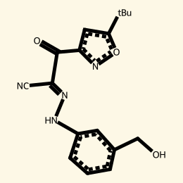 CC(C)(C)c1cc(C(=O)/C(C#N)=N/Nc2cccc(CO)c2)no1